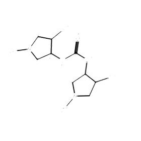 CC(C)(C)N1CC(F)C(OC(=O)OC2CN(C(C)(C)C)CC2F)C1